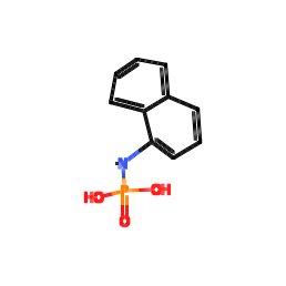 O=P(O)(O)[N]c1cccc2ccccc12